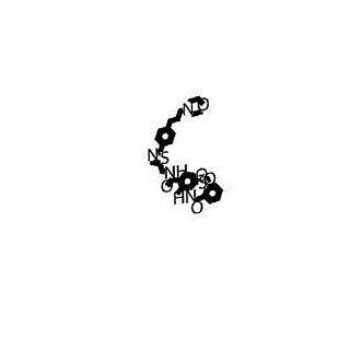 Cc1c(C(=O)NCc2cnc(-c3ccc(CCCN4CCOCC4)cc3)s2)ccc2c1NC(=O)c1ccccc1S2(=O)=O